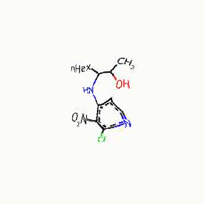 CCCCCCC(Nc1ccnc(Cl)c1[N+](=O)[O-])C(C)O